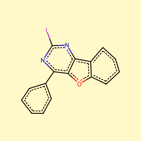 Ic1nc(-c2ccccc2)c2oc3ccccc3c2n1